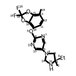 CC[C@]1(C)CN(c2cnc(Oc3ccc(C)c4c3OC(F)(F)O4)nc2)CN1